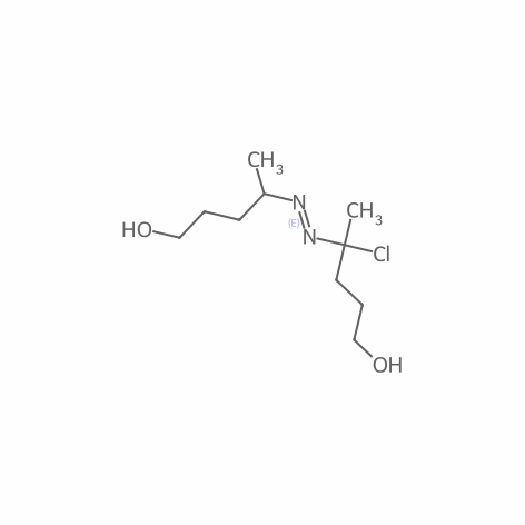 CC(CCCO)/N=N/C(C)(Cl)CCCO